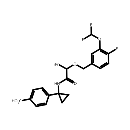 CC(C)C(OCc1ccc(F)c(OC(F)F)c1)C(=O)NC1(c2ccc(C(=O)O)cc2)CC1